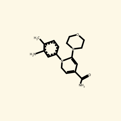 Cc1ccc(N2CC=C(C(N)=O)C=C2N2CCOCC2)cc1N